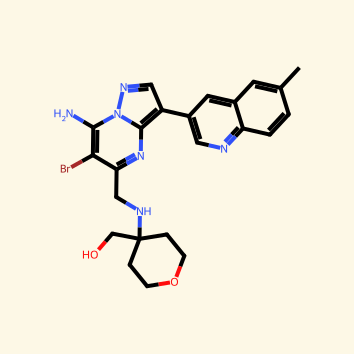 Cc1ccc2ncc(-c3cnn4c(N)c(Br)c(CNC5(CO)CCOCC5)nc34)cc2c1